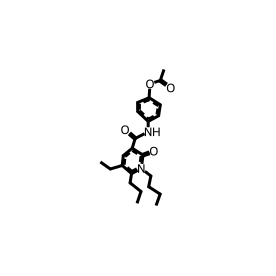 CCCCn1c(CCC)c(CC)cc(C(=O)Nc2ccc(OC(C)=O)cc2)c1=O